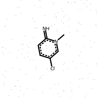 Cn1cc(Cl)ccc1=N